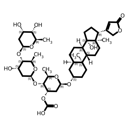 C[C@H]1O[C@@H](O[C@H]2[C@@H](O)C[C@H](O[C@H]3[C@@H](OC(=O)O)C[C@H](O[C@H]4CC[C@@]5(C)[C@H](CC[C@@H]6[C@@H]5CC[C@]5(C)[C@@H](C7=CC(=O)OC7)CC[C@]65O)C4)O[C@@H]3C)O[C@@H]2C)C[C@H](O)[C@@H]1O